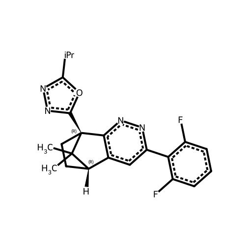 CC(C)c1nnc([C@@]23CC[C@@H](c4cc(-c5c(F)cccc5F)nnc42)C3(C)C)o1